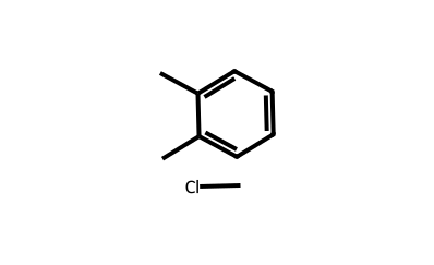 CCl.Cc1ccccc1C